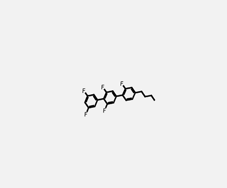 CCCCc1ccc(-c2cc(F)c(-c3cc(F)cc(F)c3)c(F)c2)c(F)c1